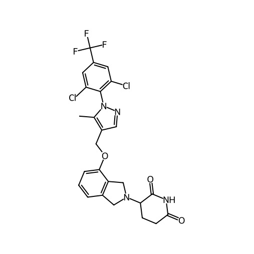 Cc1c(COc2cccc3c2CN(C2CCC(=O)NC2=O)C3)cnn1-c1c(Cl)cc(C(F)(F)F)cc1Cl